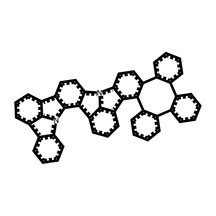 c1ccc2c(c1)-c1ccccc1-c1ccc3c(c1-c1ccccc1-2)c1cccc2c4c(ccc5c6cccc7c8ccccc8n(c76)c54)n3c12